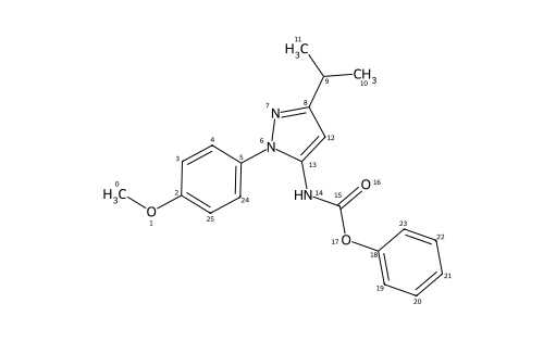 COc1ccc(-n2nc(C(C)C)cc2NC(=O)Oc2ccccc2)cc1